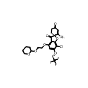 O=C1C=C(O)[C@]2(CC1)Oc1c(Cl)c(OSC(F)(F)F)cc(OCCOC3CCCCO3)c1C2=O